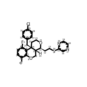 Fc1ccc(F)c2c1OC[C@H]1[C@H](CCSc3cnccn3)OCC[C@@]21Cc1ccc(Cl)cc1